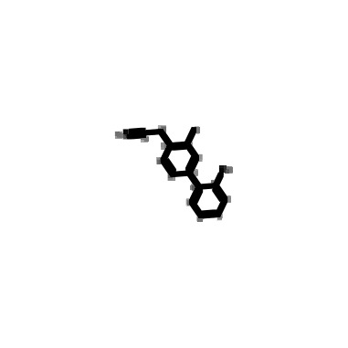 Cc1cc(-c2ccccc2F)ccc1CC#N